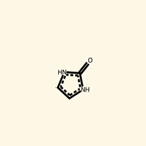 O=c1[nH][c]c[nH]1